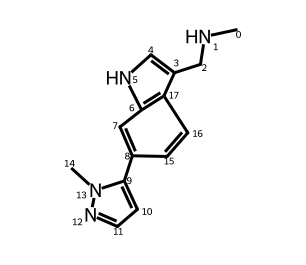 CNCc1c[nH]c2cc(-c3ccnn3C)ccc12